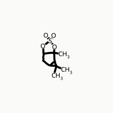 CC1(C)C2CC3OS(=O)(=O)OC3(C)C21